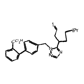 CC(C)CCC(CC=S)c1ncnn1Cc1ccc(-c2ccccc2C(=O)O)cc1